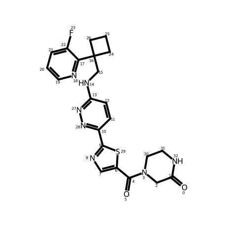 O=C1CN(C(=O)c2cnc(-c3ccc(NCC4(c5ncccc5F)CCC4)nn3)s2)CCN1